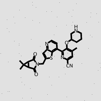 Cc1cc(C#N)nc(-c2ccnc3cc(CN4C(=O)C5C(C4=O)C5(C)C)sc23)c1OC1CCCNC1